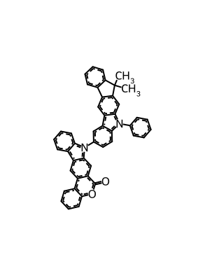 CC1(C)c2ccccc2-c2cc3c4cc(-n5c6ccccc6c6cc7c(cc65)c(=O)oc5ccccc57)ccc4n(-c4ccccc4)c3cc21